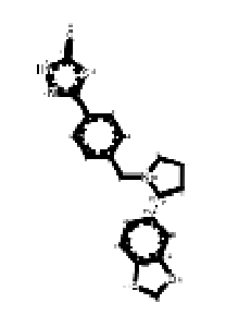 O=c1[nH]nc(-c2ccc(CN3CCC[C@@H]3c3ccc4c(c3)OCO4)cc2)s1